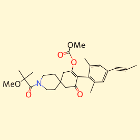 CC#Cc1cc(C)c(C2=C(OC(=O)OC)CC3(CCN(C(=O)C(C)(C)OC)CC3)CC2=O)c(C)c1